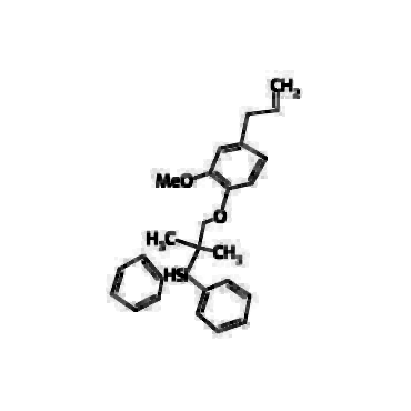 C=CCc1ccc(OCC(C)(C)[SiH](c2ccccc2)c2ccccc2)c(OC)c1